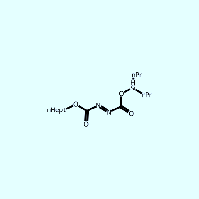 CCCCCCCOC(=O)N=NC(=O)O[SiH](CCC)CCC